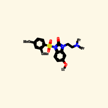 CCOc1ccc2c(c1)n(CCN(C(C)C)C(C)C)c(=O)n2S(=O)(=O)c1ccc(OC)cc1OC